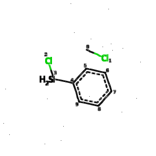 CCl.Cl[SiH2]c1ccccc1